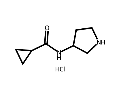 Cl.O=C(NC1CCNC1)C1CC1